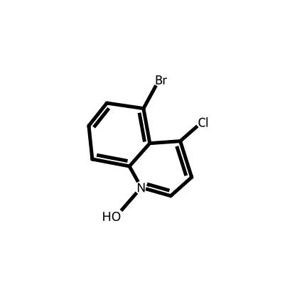 O[n+]1ccc(Cl)c2c(Br)cccc21